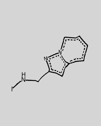 INCc1cc2ccccn2n1